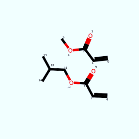 C=CC(=O)OC.C=CC(=O)OCC(C)C